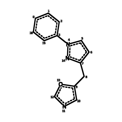 c1ccc(-n2ccc(Cc3cnco3)n2)cc1